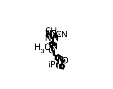 Cc1cc(-c2nc(C#N)nc3c2ncn3C)cnc1OCCC1CCN(C(=O)[C@@H]2CCCN2C(C)C)CC1